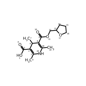 CC1=C(C(=O)O)C(C)C(C(=O)OCC2CCCO2)=C(C)N1